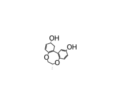 C[C@@H]1COC2=C(C[C@@H](O)C=C2)c2cc(O)ccc2O1